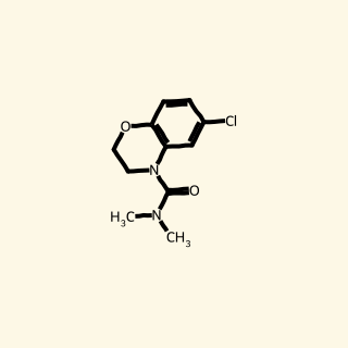 CN(C)C(=O)N1CCOc2ccc(Cl)cc21